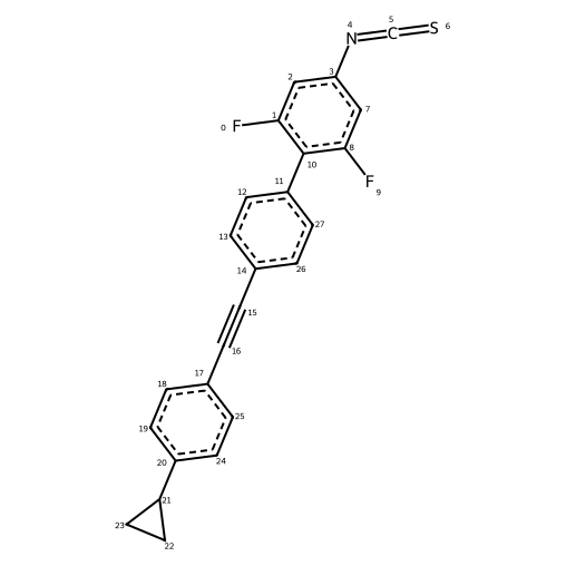 Fc1cc(N=C=S)cc(F)c1-c1ccc(C#Cc2ccc(C3CC3)cc2)cc1